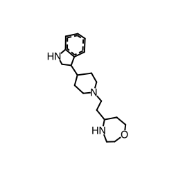 c1ccc2c(c1)NCC2C1CCN(CCC2CCOCCN2)CC1